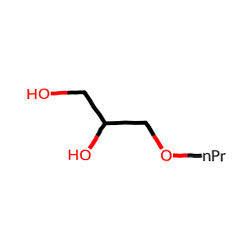 [CH2]CCOCC(O)CO